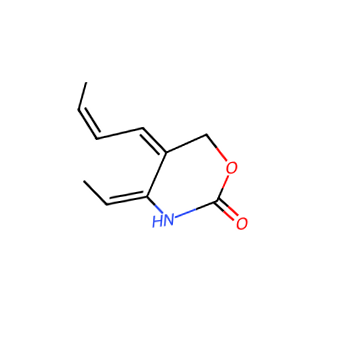 C\C=C/C=C1/COC(=O)N/C1=C/C